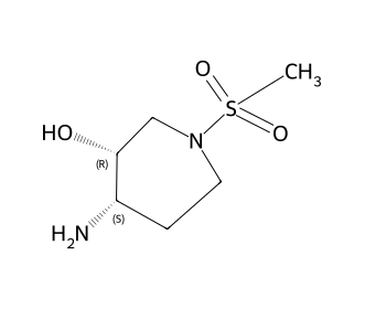 CS(=O)(=O)N1CC[C@H](N)[C@H](O)C1